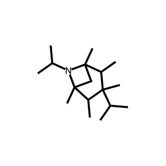 CC(C)N1C2(C)CC1(C)C(C)C(C)(C(C)C)C2C